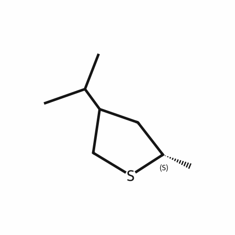 CC(C)C1CS[C@@H](C)C1